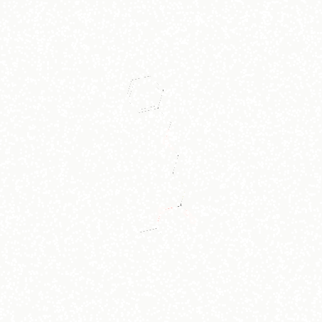 CC(Cl)OC(=O)SCCOCc1ccccc1